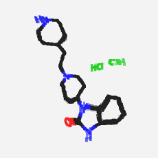 Cl.Cl.O=c1[nH]c2ccccc2n1C1CCN(CCC2CCNCC2)CC1